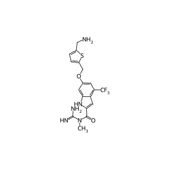 CN(C(=N)N)C(=O)c1cc2c(C(F)(F)F)cc(OCc3ccc(CN)s3)cc2[nH]1